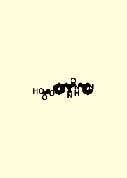 N#C/C(=C\c1ccc(OCC(=O)O)cc1)C(=O)NCc1cccnc1